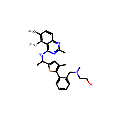 COc1ccc2nc(C)nc(NC(C)c3cc(C)c(-c4ccccc4CN(C)CCO)s3)c2c1OC